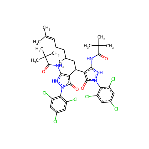 CC(C)=CCCC(C)CC(c1c(NC(=O)C(C)(C)C)[nH]n(-c2c(Cl)cc(Cl)cc2Cl)c1=O)c1c(NC(=O)C(C)(C)C)[nH]n(-c2c(Cl)cc(Cl)cc2Cl)c1=O